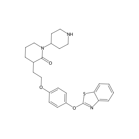 O=C1C(CCOc2ccc(Oc3nc4ccccc4s3)cc2)CCCN1C1CCNCC1